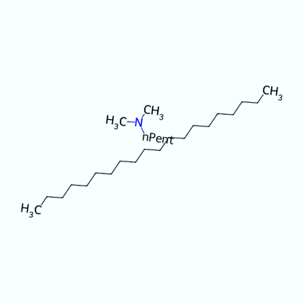 CCCCCCCCCCCCCCCCCCCC.CCCCCN(C)C